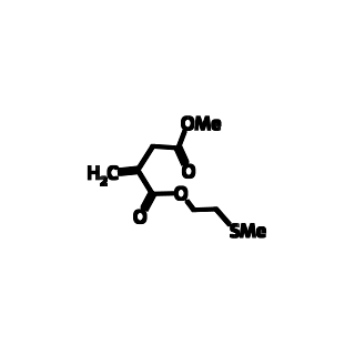 C=C(CC(=O)OC)C(=O)OCCSC